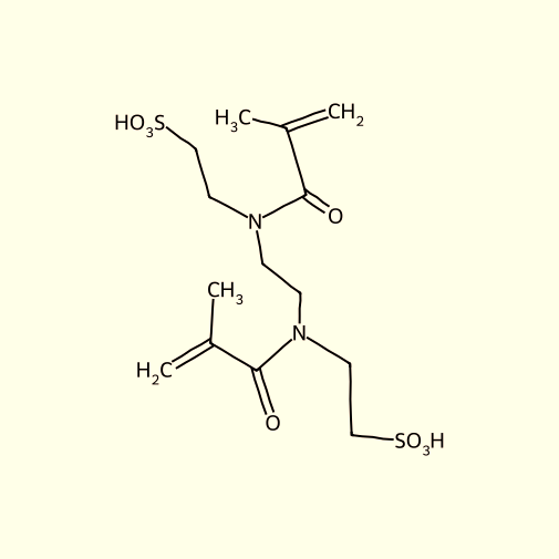 C=C(C)C(=O)N(CCN(CCS(=O)(=O)O)C(=O)C(=C)C)CCS(=O)(=O)O